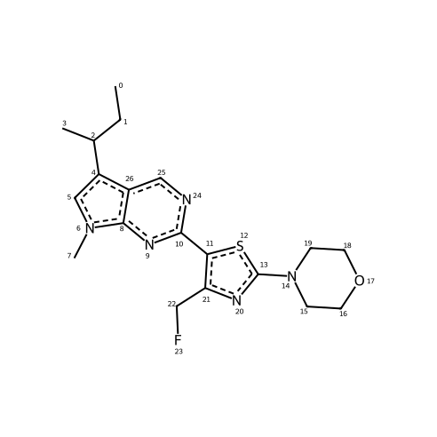 CCC(C)c1cn(C)c2nc(-c3sc(N4CCOCC4)nc3CF)ncc12